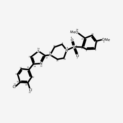 COc1ccc(S(=O)(=O)N2CCN(c3nc(-c4ccc(Cl)c(Cl)c4)cs3)CC2)c(OC)c1